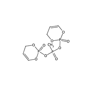 CP(=O)(OP1(=O)OC=CCO1)OP1(=O)OC=CCO1